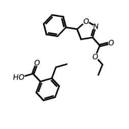 CCOC(=O)C1=NOC(c2ccccc2)C1.CCc1ccccc1C(=O)O